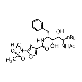 CCCC[C@@H](NC(C)=O)[C@@H](O)[C@H](O)[C@H](Cc1ccccc1)NC(=O)c1coc(N(C)S(C)(=O)=O)n1